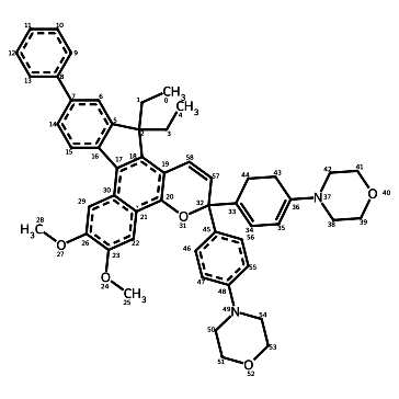 CCC1(CC)c2cc(-c3ccccc3)ccc2-c2c1c1c(c3cc(OC)c(OC)cc23)OC(C2=CC=C(N3CCOCC3)CC2)(c2ccc(N3CCOCC3)cc2)C=C1